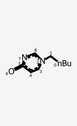 CCCCCn1ccc(=O)nc1